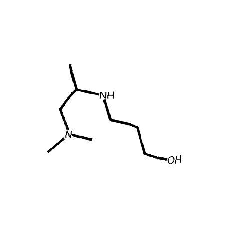 CC(CN(C)C)NCCCO